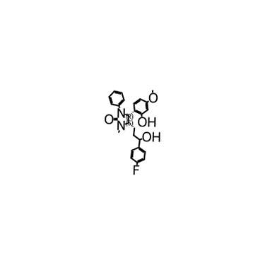 COc1ccc([C@@H]2[C@H](CCC(O)c3ccc(F)cc3)N(C)C(=O)N2c2ccccc2)c(O)c1